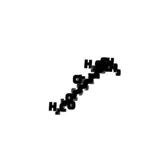 C=CC(=O)OCCCCCCCCCCC[N+](C)(C)C.[Cl-]